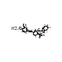 CCc1cc(C#Cc2ccc(C3(OCc4ccccc4)CC3)c(C)c2)ccc1C(=O)O